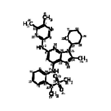 Cc1ncc(Nc2cc(Nc3ccccc3N(C)S(C)(=O)=O)c3nc(C)n(C4CCCCO4)c3n2)nc1C